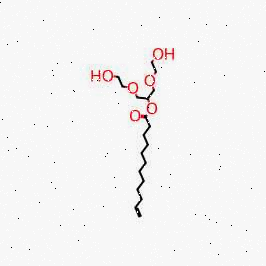 C=CCCCCCCCCCC(=O)OC(COCCO)COCCO